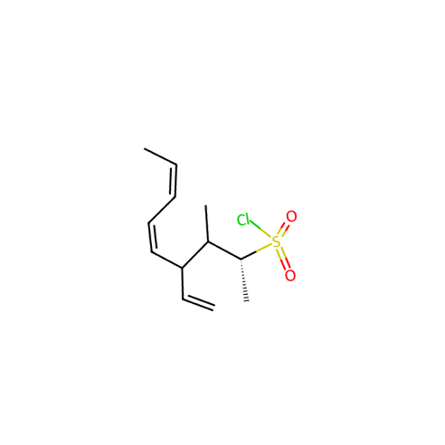 C=CC(/C=C\C=C/C)C(C)[C@@H](C)S(=O)(=O)Cl